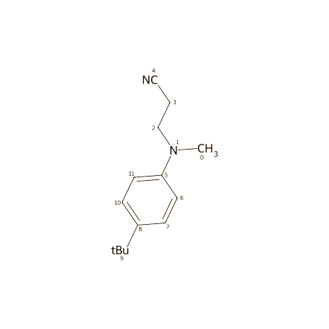 CN(CCC#N)c1ccc(C(C)(C)C)cc1